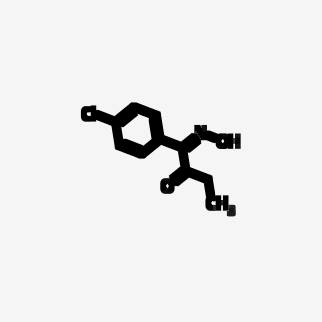 CCC(=O)C(=NO)c1ccc(Cl)cc1